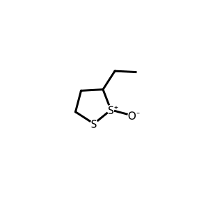 CCC1CCS[S+]1[O-]